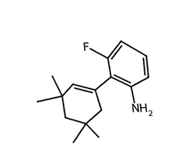 CC1(C)C=C(c2c(N)cccc2F)CC(C)(C)C1